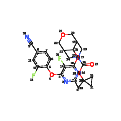 Cc1nc(Oc2ccc(C#N)cc2F)c(F)c(OC2C3COCC2CN(C(=O)OC2(C)CC2)C3)n1